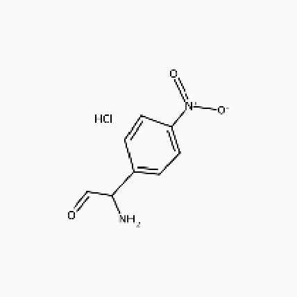 Cl.NC(C=O)c1ccc([N+](=O)[O-])cc1